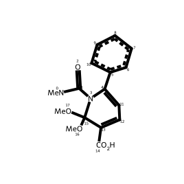 CNC(=O)N1C(c2ccccc2)=CC=C(C(=O)O)C1(OC)OC